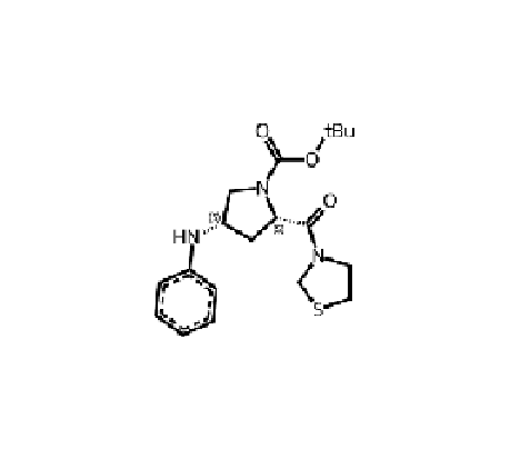 CC(C)(C)OC(=O)N1C[C@@H](Nc2ccccc2)C[C@H]1C(=O)N1CCSC1